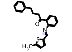 Cc1ccc(/C=N/c2ccccc2C(=O)CCCc2ccccc2)s1